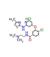 Cc1csc(Nc2cc(Oc3cc(C(=O)NCCN(C)C)ccc3Cl)ccn2)n1.Cl